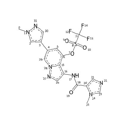 Cn1cc(-c2cc(OS(=O)(=O)C(F)(F)F)c3c(NC(=O)c4cncn4C)cnn3c2)cn1